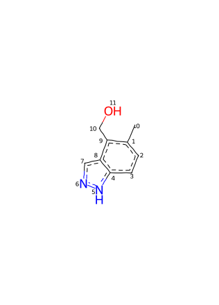 [CH2]c1ccc2[nH]ncc2c1CO